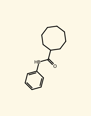 O=C(Bc1ccccc1)C1CCCCCCC1